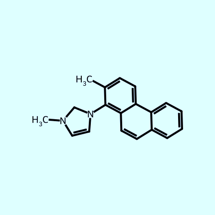 Cc1ccc2c(ccc3ccccc32)c1N1C=CN(C)C1